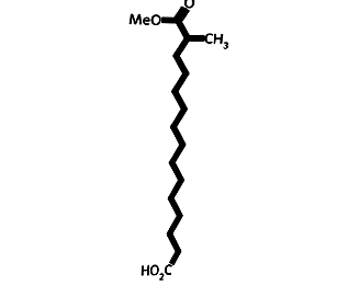 COC(=O)C(C)CCCCCCCCCCCCC(=O)O